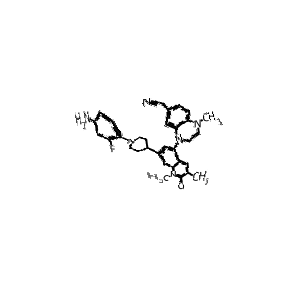 Cc1cc2c(N3CCN(C)c4ccc(C#N)cc43)cc(C3CCN(c4ccc(N)cc4F)CC3)cc2n(C)c1=O